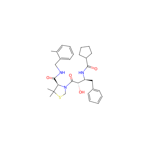 Cc1ccccc1CNC(=O)[C@H]1N(C(=O)[C@@H](O)[C@H](Cc2ccccc2)NC(=O)C2CCCC2)CSC1(C)C